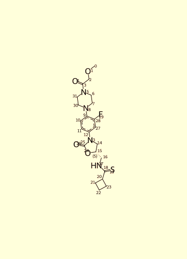 COCC(=O)N1CCN(c2ccc(N3C[C@H](CNC(=S)C4CCC4)OC3=O)cc2F)CC1